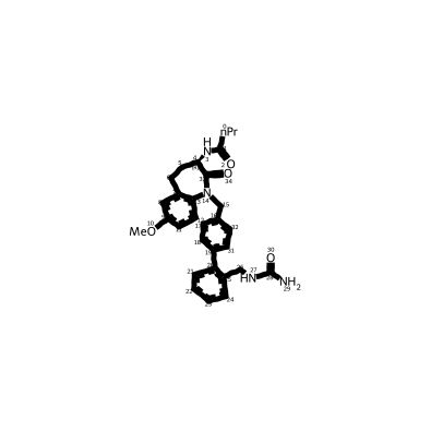 CCCC(=O)N[C@@H]1CCc2cc(OC)ccc2N(Cc2ccc(-c3ccccc3CNC(N)=O)cc2)C1=O